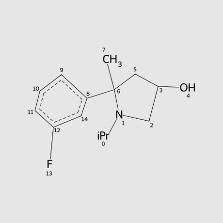 CC(C)N1CC(O)CC1(C)c1cccc(F)c1